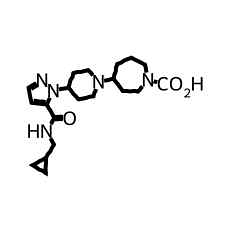 O=C(NCC1CC1)c1ccnn1C1CCN(C2CCCN(C(=O)O)CC2)CC1